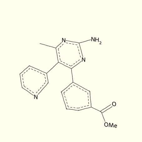 COC(=O)c1cccc(-c2nc(N)nc(C)c2-c2cccnc2)c1